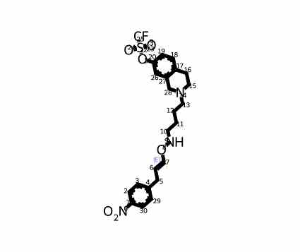 O=[N+]([O-])c1ccc(C/C=C/ONCCCCN2CCc3ccc(OS(=O)(=O)C(F)(F)F)cc3C2)cc1